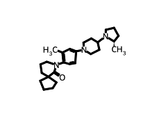 Cc1cc(N2CCC(N3CCC[C@@H]3C)CC2)ccc1N1CCCC2(CCCC2)C1=O